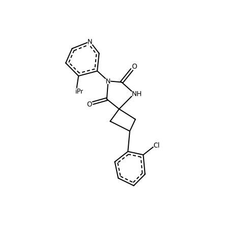 CC(C)c1ccncc1N1C(=O)NC2(CC(c3ccccc3Cl)C2)C1=O